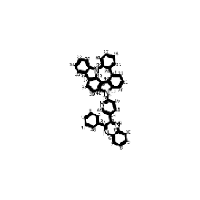 c1ccc(-c2nc3ccccc3nc2-c2ccc(-n3c4cccc5c6ccccc6n6c7ccccc7c7ccc3c(c54)c76)nc2)cc1